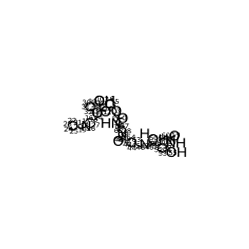 O=C(COc1cccc(C(O)(C(=O)OCC2CCN(Cc3ccccc3)CC2)c2ccccc2)c1)N[C@@H]1CCN(C(=O)c2ccc(CNC[C@H](O)c3ccc(O)c4[nH]c(=O)ccc34)cc2)C1